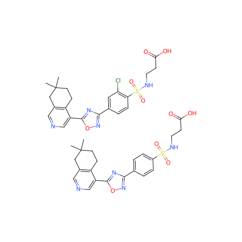 CC1(C)CCc2c(cncc2-c2nc(-c3ccc(S(=O)(=O)NCCC(=O)O)c(Cl)c3)no2)C1.CC1(C)CCc2c(cncc2-c2nc(-c3ccc(S(=O)(=O)NCCC(=O)O)cc3)no2)C1